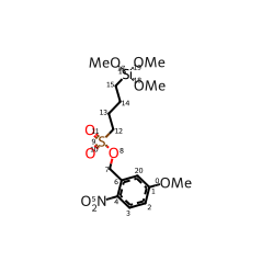 COc1ccc([N+](=O)[O-])c(COS(=O)(=O)CCCC[Si](OC)(OC)OC)c1